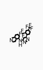 FC(F)(F)c1ccc(-c2cc(Nc3cccc4cnccc34)ncn2)c(C(F)(F)F)c1